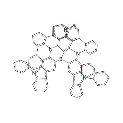 c1ccc(-c2cccc(-c3ccccc3)c2N2c3cc4c(cc3B3c5cc6c7ccccc7n(-c7ccccc7)c6cc5N(c5c(-c6ccccc6)cccc5-c5ccccc5)c5c6c7c(c2c53)CCCN7CCC6)c2ccccc2n4-c2ccccc2)cc1